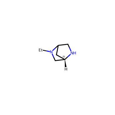 CCN1C[C@@H]2CC1CN2